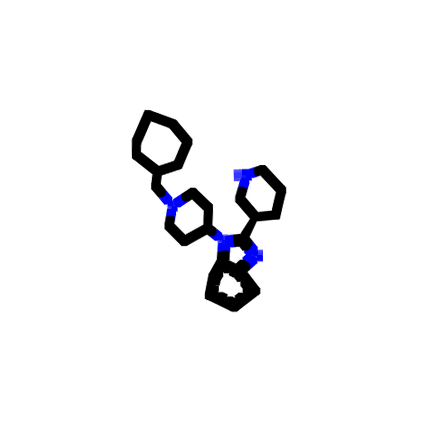 c1ccc2c(c1)nc([C@@H]1CCCNC1)n2C1CCN(CC2CCCCCC2)CC1